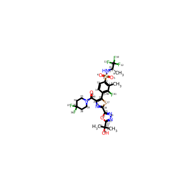 Cc1c(S(=O)(=O)N[C@@H](C)C(F)(F)F)ccc(-c2sc(-c3nnc(C(C)(C)O)o3)nc2C(=O)N2CCC(F)(F)CC2)c1F